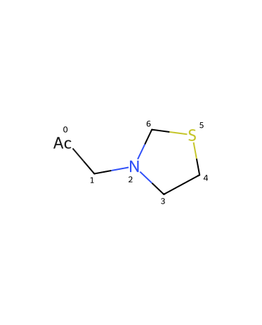 CC(=O)CN1CCSC1